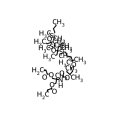 C=CC(=O)OCC(C)(COC(=O)C=C)NC(=O)O[C@](C)(CC)CCOC(C)(C)CCC[Si](C)(C)C(CC)(CC)O[Si](C)(C)C(C)(CC)O[Si](C)(C)CCCC